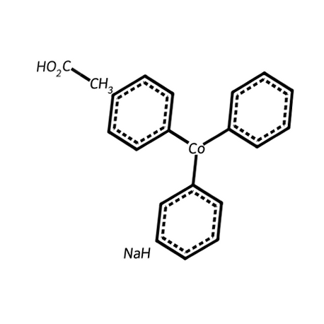 CC(=O)O.[NaH].c1cc[c]([Co]([c]2ccccc2)[c]2ccccc2)cc1